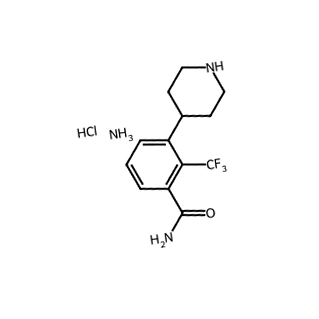 Cl.N.NC(=O)c1cccc(C2CCNCC2)c1C(F)(F)F